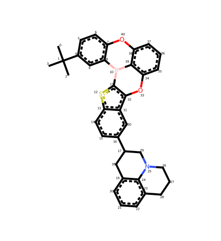 CC(C)(C)c1ccc2c(c1)B1c3sc4ccc(C5Cc6cccc7c6N(CCC7)C5)cc4c3Oc3cccc(c31)O2